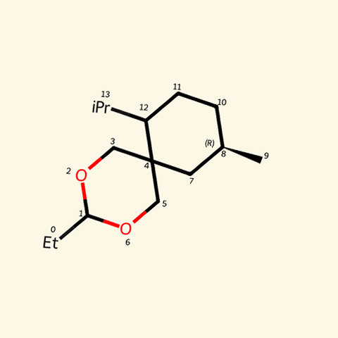 CCC1OCC2(CO1)C[C@H](C)CCC2C(C)C